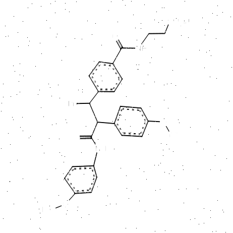 CCCC(c1ccc(C(=O)NCCC(=O)OCC)cc1)C(C(=O)Nc1ccc(OC(F)(F)F)cc1)c1ccc(OC(F)(F)F)cc1